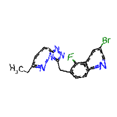 CCc1ccc2nnc(Cc3ccc4ncc(Br)cc4c3F)n2n1